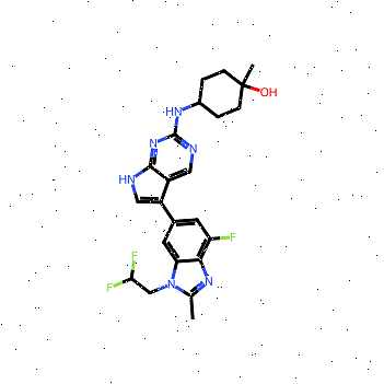 Cc1nc2c(F)cc(-c3c[nH]c4nc(NC5CCC(C)(O)CC5)ncc34)cc2n1CC(F)F